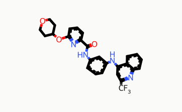 O=C(Nc1cccc(Nc2cc(C(F)(F)F)nc3ccccc23)c1)c1cccc(OC2CCOCC2)n1